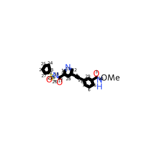 CONC(=O)c1cccc(C#Cc2cncc(C(=O)N=[S@@](C)(=O)c3ccccc3)c2)c1